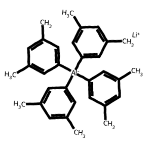 Cc1cc(C)c[c]([Al-]([c]2cc(C)cc(C)c2)([c]2cc(C)cc(C)c2)[c]2cc(C)cc(C)c2)c1.[Li+]